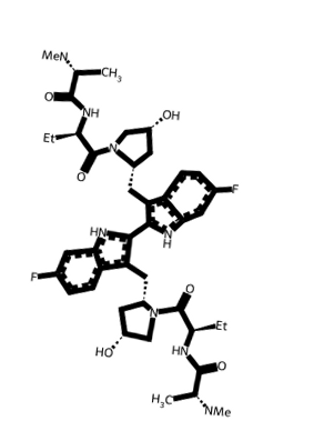 CC[C@@H](NC(=O)[C@@H](C)NC)C(=O)N1C[C@H](O)C[C@@H]1Cc1c(-c2[nH]c3cc(F)ccc3c2C[C@H]2C[C@@H](O)CN2C(=O)[C@@H](CC)NC(=O)[C@@H](C)NC)[nH]c2cc(F)ccc12